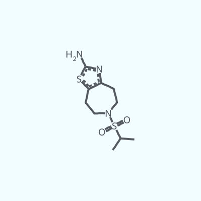 CC(C)S(=O)(=O)N1CCc2nc(N)sc2CC1